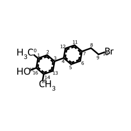 Cc1cc(-c2ccc(CCBr)cc2)cc(C)c1O